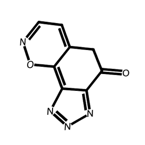 O=C1CC2=CC=NOC2=C2N=NN=C12